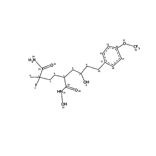 CC(F)(CCC(CC(O)[CH]Cc1ccc(OC(F)(F)F)cc1)C(=O)NO)C(N)=O